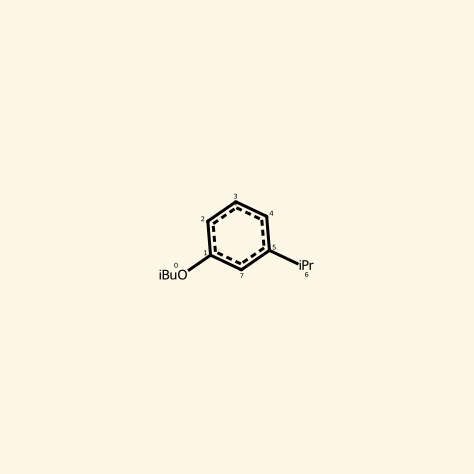 CC(C)COc1c[c]cc(C(C)C)c1